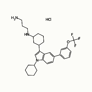 Cl.NCCCNC1CCCC(c2cn(C3CCCCC3)c3ccc(-c4cccc(OC(F)(F)F)c4)cc23)C1